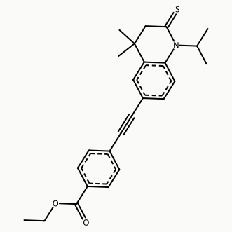 CCOC(=O)c1ccc(C#Cc2ccc3c(c2)C(C)(C)CC(=S)N3C(C)C)cc1